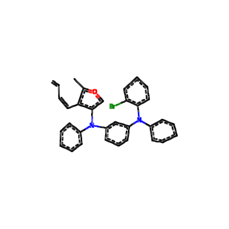 C=C/C=C\c1c(N(c2ccccc2)c2cccc(N(c3ccccc3)c3ccccc3Br)c2)coc1C